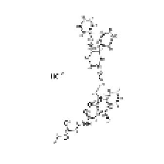 CCOC(=O)CCNC(=O)Cn1c(=O)c2ccccc2n(CCCCN2CCC(OC(c3ccccc3)c3ccccc3)CC2)c1=O.Cl